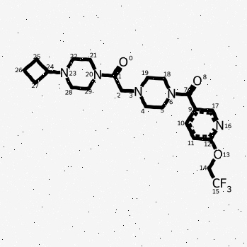 O=C(CN1CCN(C(=O)c2ccc(OCC(F)(F)F)nc2)CC1)N1CCN(C2CCC2)CC1